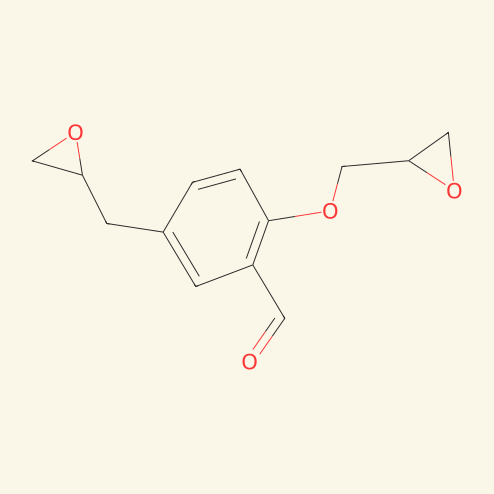 O=Cc1cc(CC2CO2)ccc1OCC1CO1